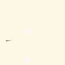 COc1ccc(NC(=O)[C@H](C)C2CCNCC2Cl)cc1